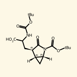 CC(C)(C)OC(=O)NC(C[C@H]1C(=O)N(C(=O)OC(C)(C)C)[C@@H]2C[C@@H]21)C(=O)O